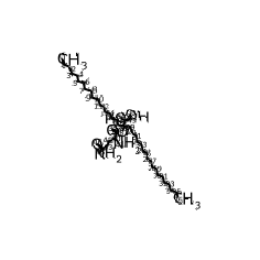 CCCCCCCCCCCCCCCCCCC(CCCCCCCCCCCCCCCCCC)(OC(=O)[C@@H](N)CCC(N)=O)C(O)CO